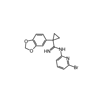 N=C(Nc1cccc(Br)n1)C1(c2ccc3c(c2)OCO3)CC1